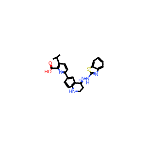 CC(C)c1ccc(-c2ccc3c(c2)/C(=N/Nc2nc4ccccc4s2)CCN3)nc1C(=O)O